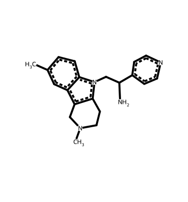 Cc1ccc2c(c1)c1c(n2CC(N)c2ccncc2)CCN(C)C1